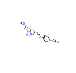 Cc1c(/N=C(/CCCOc2ccc(N3CCC(O)C3)cc2)C(C)C)c(N)nc2cc(-n3cccn3)sc12